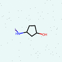 OC1CCC(NI)C1